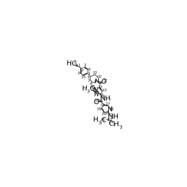 C#Cc1ccc(C2CCN(C(=O)c3cc(NC(=O)c4ccc(NC(C)C)nc4)nn3C)CC2)cc1